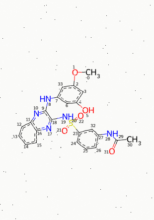 COc1cc(O)cc(Nc2nc3ccccc3nc2NS(=O)(=O)c2cccc(NC(C)=O)c2)c1